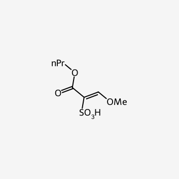 CCCOC(=O)C(=COC)S(=O)(=O)O